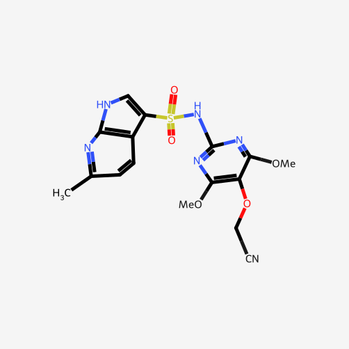 COc1nc(NS(=O)(=O)c2c[nH]c3nc(C)ccc23)nc(OC)c1OCC#N